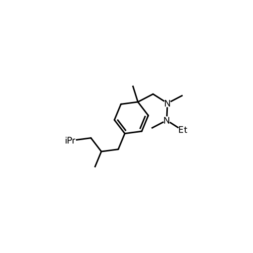 CCN(C)N(C)CC1(C)C=CC(CC(C)CC(C)C)=CC1